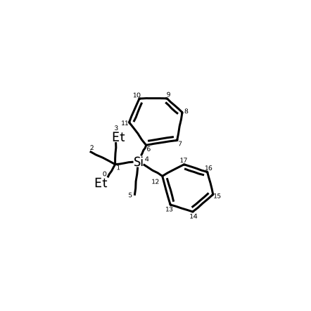 CCC(C)(CC)[Si](C)(c1ccccc1)c1ccccc1